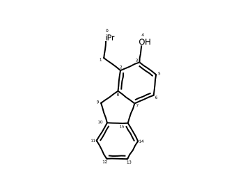 CC(C)Cc1c(O)ccc2c1Cc1ccccc1-2